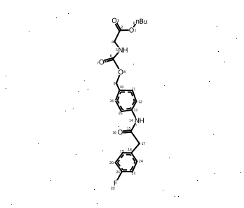 CCCCOC(=O)CNC(=O)OCc1ccc(NC(=O)Cc2ccc(F)cc2)cc1